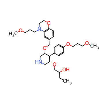 CC[C@H](O)CO[C@@H]1CNC[C@H](OCc2ccc3c(c2)N(CCCOC)CCO3)[C@H]1c1ccc(OCCCOC)cc1